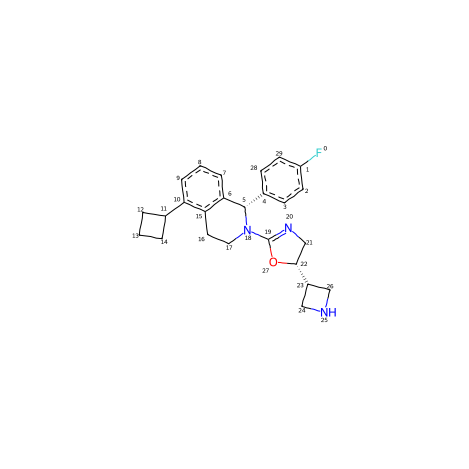 Fc1ccc([C@H]2c3cccc(C4CCC4)c3CCN2C2=NC[C@H](C3CNC3)O2)cc1